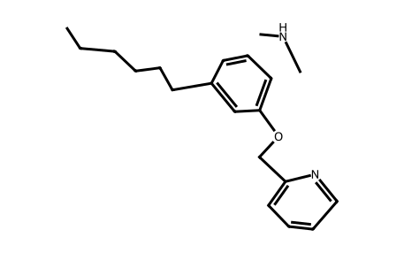 CCCCCCc1cccc(OCc2ccccn2)c1.CNC